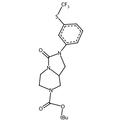 CC(C)(C)OC(=O)N1CCN2C(=O)N(c3cccc(SC(F)(F)F)c3)CC2C1